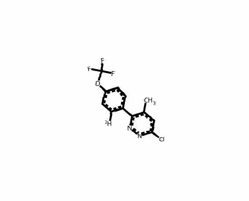 [2H]c1cc(OC(F)(F)F)ccc1-c1nnc(Cl)cc1C